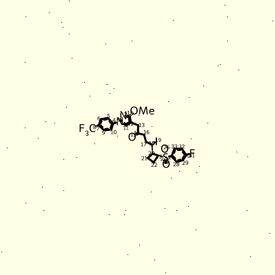 COc1nn(-c2ccc(C(F)(F)F)cc2)cc1CC(=O)CCC(I)[C@@H]1CC[C@@H]1S(=O)(=O)c1ccc(F)cc1